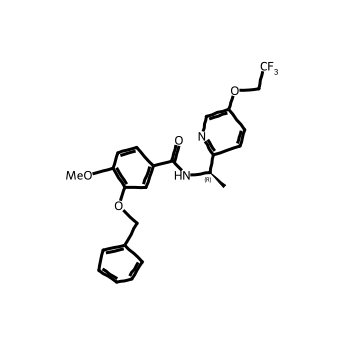 COc1ccc(C(=O)N[C@H](C)c2ccc(OCC(F)(F)F)cn2)cc1OCc1ccccc1